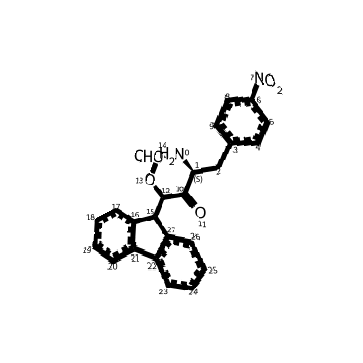 N[C@@H](Cc1ccc([N+](=O)[O-])cc1)C(=O)C(O[C]=O)C1c2ccccc2-c2ccccc21